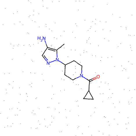 Cc1c(N)cnn1C1CCN(C(=O)C2CC2)CC1